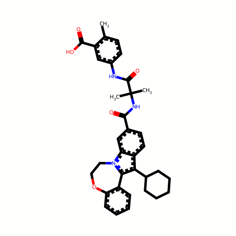 Cc1ccc(NC(=O)C(C)(C)NC(=O)c2ccc3c(C4CCCCC4)c4n(c3c2)CCOc2ccccc2-4)cc1C(=O)O